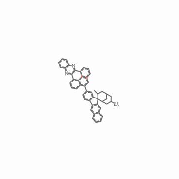 CCC1CC2CC(C)C3(c4cc(-c5cccc6c(-c7nc8ccccc8nc7-c7ccccc7)cccc56)ccc4-c4cc5ccccc5cc43)C(C1)C2